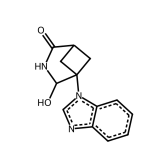 O=C1NC(O)C2(n3cnc4ccccc43)CC1C2